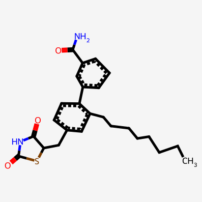 CCCCCCCCc1cc(CC2SC(=O)NC2=O)ccc1-c1cccc(C(N)=O)c1